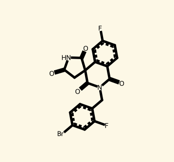 O=C1CC2(C(=O)N1)C(=O)N(Cc1ccc(Br)cc1F)C(=O)c1ccc(F)cc12